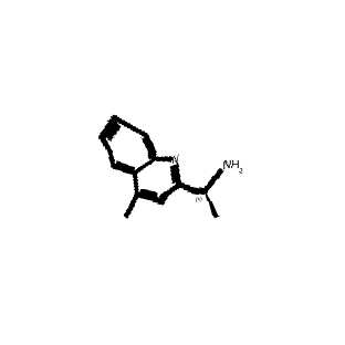 Cc1cc([C@H](C)N)nc2ccccc12